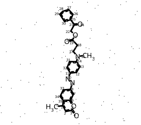 Cc1cc(=O)oc2cc(/N=N/c3ccc(N(C)CCC(=O)OCC(=O)c4ccccc4)cc3)ccc12